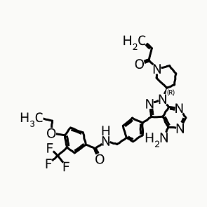 C=CC(=O)N1CCC[C@@H](n2nc(-c3ccc(CNC(=O)c4ccc(OCC)c(C(F)(F)F)c4)cc3)c3c(N)ncnc32)C1